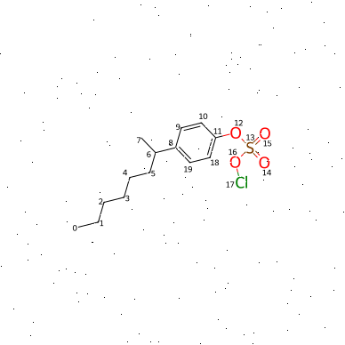 CCCCCCC(C)c1ccc(OS(=O)(=O)OCl)cc1